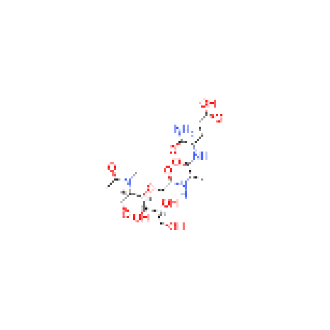 CC(=O)N(C)[C@@H](C=O)[C@@H](OCC(=O)NC(C)C(=O)NC(CCC(=O)O)C(N)=O)[C@H](O)[C@H](O)CO